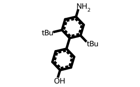 CC(C)(C)c1cc(N)cc(C(C)(C)C)c1-c1ccc(O)cc1